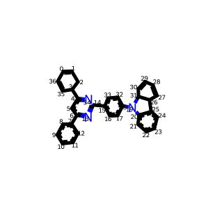 C1=CCC(c2cc(-c3ccccc3)nc(-c3ccc(N4c5ccccc5C5C=CC=CC54)cc3)n2)C=C1